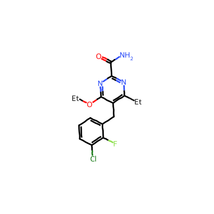 CCOc1nc(C(N)=O)nc(CC)c1Cc1cccc(Cl)c1F